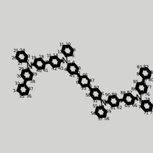 C1=C(c2ccc(N(c3ccccc3)c3ccc(-c4ccc(N(c5ccccc5)c5ccc(-c6ccccc6)cc5)cc4)cc3)cc2)CCC(c2ccc(N(c3ccccc3)c3ccc(-c4ccc(N(c5ccccc5)c5ccc(-c6ccccc6)cc5)cc4)cc3)cc2)=C1